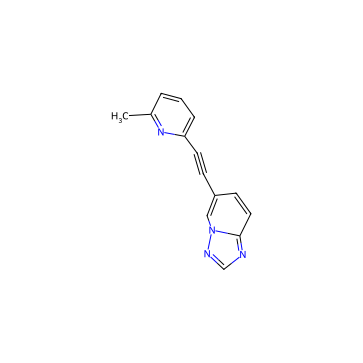 Cc1cccc(C#Cc2ccc3ncnn3c2)n1